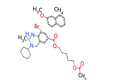 C.CCN(Cc1cc(C(=O)OCCCCCOC(C)=O)cc(Br)c1N)C1CCCCC1.COc1ccc2ccccc2c1